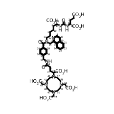 O=C(O)CC[C@@H](NC(=O)N[C@H](CCCCCN(Cc1nccc2ccccc12)C(=O)c1ccc(CNC(=O)CCC(C(=O)O)N2CCN(CC(=O)O)CCN(CC(=O)O)CCN(CC(=O)O)CC2)cc1)C(=O)O)C(=O)O